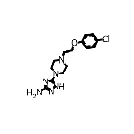 Nc1n[nH]c(N2CCN(CCOc3ccc(Cl)cc3)CC2)n1